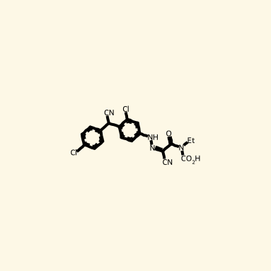 CCN(C(=O)O)C(=O)C(C#N)=NNc1ccc(C(C#N)c2ccc(Cl)cc2)c(Cl)c1